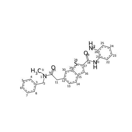 CN(Cc1ccccc1)C(=O)Cc1ccc2cc(C(=O)Nc3ccccc3N)sc2c1